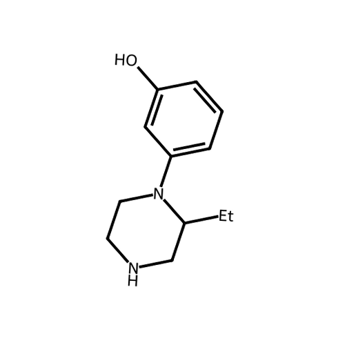 CCC1CNCCN1c1cccc(O)c1